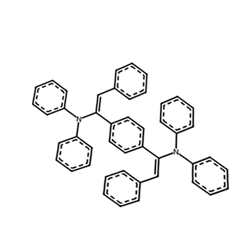 C(=C(c1ccc(C(=Cc2ccccc2)N(c2ccccc2)c2ccccc2)cc1)N(c1ccccc1)c1ccccc1)c1ccccc1